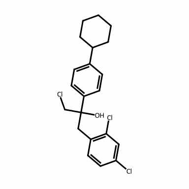 OC(CCl)(Cc1ccc(Cl)cc1Cl)c1ccc(C2CCCCC2)cc1